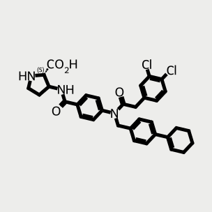 O=C(NC1CCN[C@@H]1C(=O)O)c1ccc(N(Cc2ccc(C3=CCCCC3)cc2)C(=O)Cc2ccc(Cl)c(Cl)c2)cc1